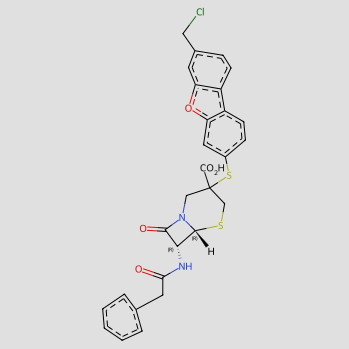 O=C(Cc1ccccc1)N[C@@H]1C(=O)N2CC(Sc3ccc4c(c3)oc3cc(CCl)ccc34)(C(=O)O)CS[C@H]12